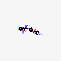 CN1CCC(C(=O)N(C)c2ccc(N/C=C(\N=N)c3cc4cc(F)ccc4[nH]c3=O)cc2)CC1